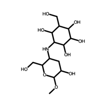 COC1OC(CO)C(NC2C(O)C(O)C(O)C(CO)C2O)CC1O